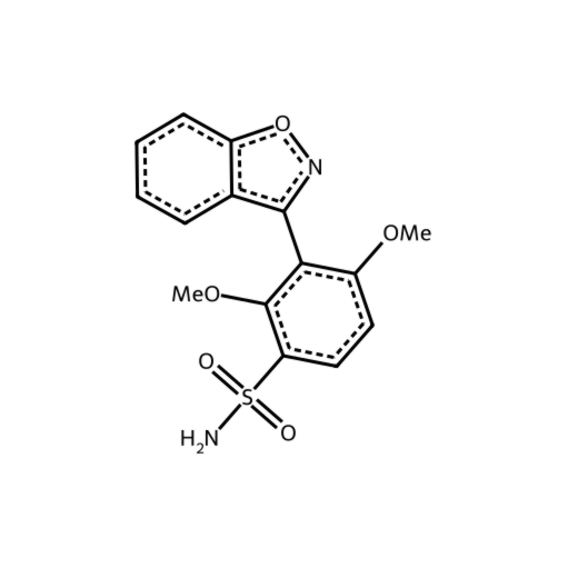 COc1ccc(S(N)(=O)=O)c(OC)c1-c1noc2ccccc12